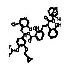 O=C(O[C@@H](Cc1c(Cl)cncc1Cl)c1ccc(OC(F)F)c(OCC2CC2)c1)c1cccc(CN(C(=O)O[C@H]2CN3CCC2CC3)c2ccccc2O)c1O